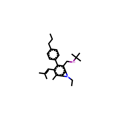 CCCc1ccc(-c2c(C=C(C)C)c(C)c3c(c2CPC(C)(C)C)N3CC)cc1